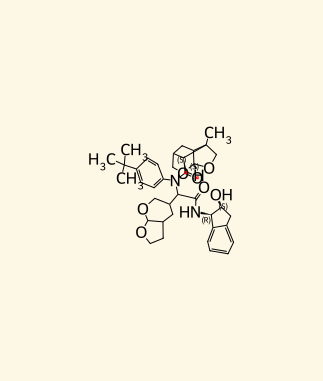 CC(C)(C)c1ccc(N(C(=O)[C@H]2C3CO[C@H]4OCC2(C)C4C3)C(C(=O)N[C@@H]2c3ccccc3C[C@@H]2O)C2COC3OCCC3C2)cc1